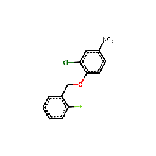 O=[N+]([O-])c1ccc(OCc2ccccc2F)c(Cl)c1